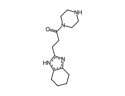 O=C(CCc1nc2c([nH]1)CCCC2)N1CCNCC1